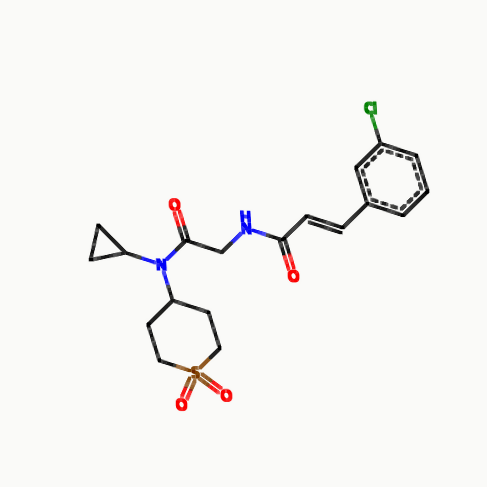 O=C(/C=C/c1cccc(Cl)c1)NCC(=O)N(C1CC1)C1CCS(=O)(=O)CC1